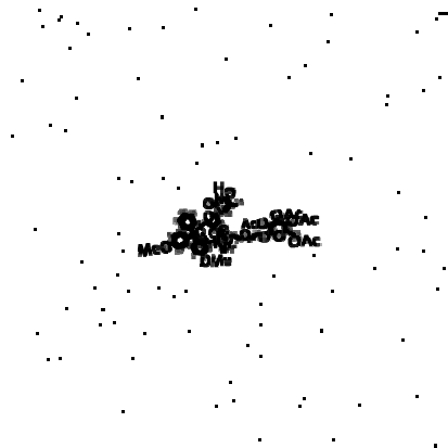 COc1ccc(C(OC[C@H]2O[C@@H](n3cc(C)c(=O)[nH]c3=O)CC2OP(=O)(OCCOCCO[C@@H]2O[C@H](COC(C)=O)[C@H](OC(C)=O)[C@H](OC(C)=O)[C@H]2OC(C)=O)N(C(C)C)C(C)C)(c2ccccc2)c2ccc(OC)cc2)cc1